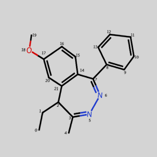 CCC1C(C)=NN=C(c2ccccc2)c2ccc(OC)cc21